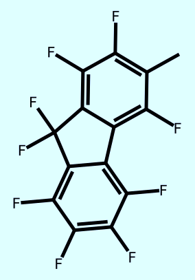 Cc1c(F)c(F)c2c(c1F)-c1c(F)c(F)c(F)c(F)c1C2(F)F